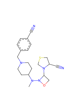 CN(C1CCN(Cc2ccc(C#N)cc2)CC1)N1OCC1N1CSCC1C#N